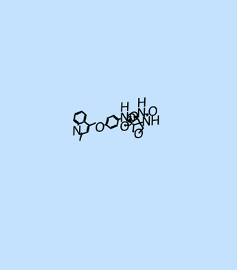 Cc1cc(COc2ccc(NS(=O)(=O)C3COCC34NC(=O)NC4=O)cc2)c2ccccc2n1